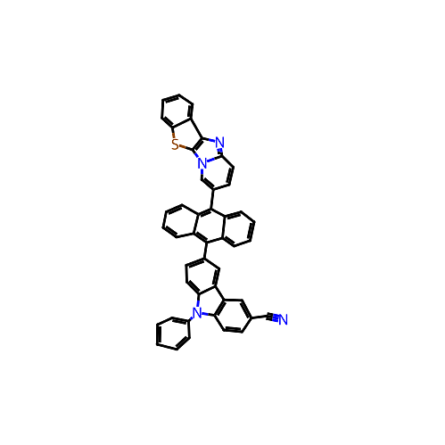 N#Cc1ccc2c(c1)c1cc(-c3c4ccccc4c(-c4ccc5nc6c7ccccc7sc6n5c4)c4ccccc34)ccc1n2-c1ccccc1